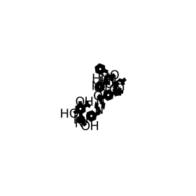 CC(C)C[C@H](NC(=O)[C@H](Cc1ccccc1)NC(=O)c1cnccn1)B1OC(C)(C)C(C)(c2ccc(C(=O)N3CCN(Cc4ccc(-n5c(O)nnc5-c5cc(C(C)C)c(O)cc5O)cc4)CC3)cc2)O1